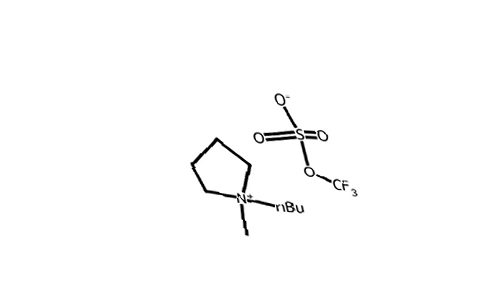 CCCC[N+]1(C)CCCC1.O=S(=O)([O-])OC(F)(F)F